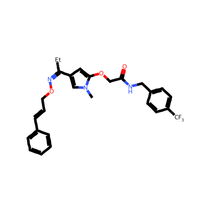 CCC(=NOCC=Cc1ccccc1)c1cc(OCC(=O)NCc2ccc(C(F)(F)F)cc2)n(C)c1